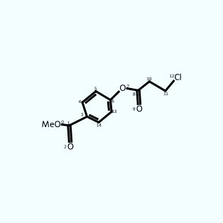 COC(=O)c1ccc(OC(=O)CCCl)cc1